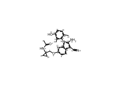 CC(=O)NC1(COc2ccc3c(C#N)c(N)n(-c4c(C)ccc(O)c4C)c3n2)CC1